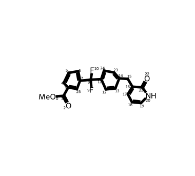 COC(=O)c1cccc(C(F)(F)c2ccc(Cc3ccc[nH]c3=O)cc2)c1